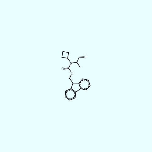 CC(C=O)N(C(=O)OCC1c2ccccc2-c2ccccc21)C1CCC1